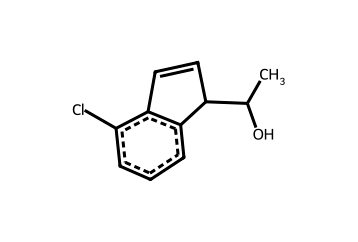 CC(O)C1C=Cc2c(Cl)cccc21